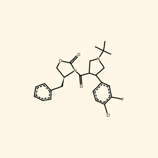 CC(C)(C)N1CC(C(=O)N2C(=O)OC[C@@H]2Cc2ccccc2)C(c2ccc(Cl)c(F)c2)C1